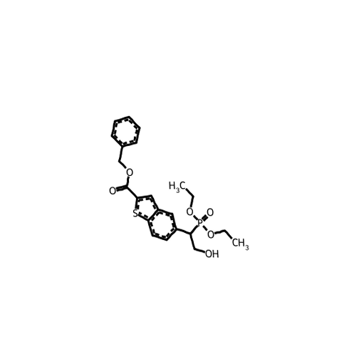 CCOP(=O)(OCC)C(CO)c1ccc2sc(C(=O)OCc3ccccc3)cc2c1